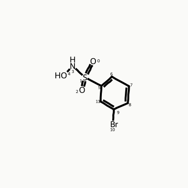 O=S(=O)(NO)c1cccc(Br)c1